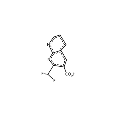 O=C(O)c1cc2cccnc2nc1C(F)F